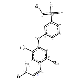 CCN(C)/C=N\c1cc(C)c(Oc2cccc(S(=O)(CC)=NC#N)c2)cc1C